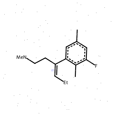 CC/C=C(/CCNC)c1cc(C)cc(F)c1C